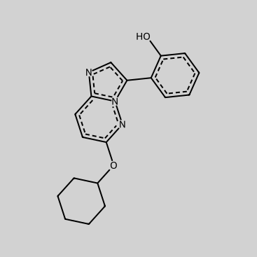 Oc1ccccc1-c1cnc2ccc(OC3CCCCC3)nn12